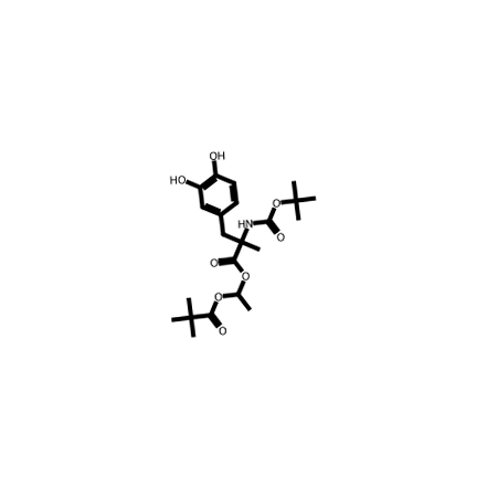 CC(OC(=O)C(C)(C)C)OC(=O)C(C)(Cc1ccc(O)c(O)c1)NC(=O)OC(C)(C)C